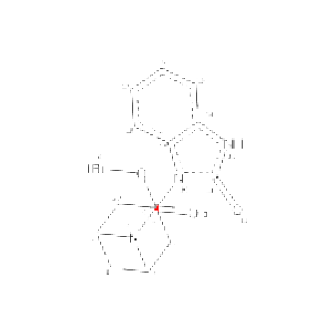 CC(C)(C)OC(=O)N1C2CC1CC(n1c(=O)[nH]c3ccccc31)C2